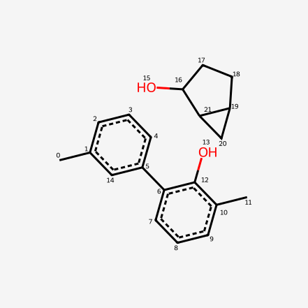 Cc1cccc(-c2cccc(C)c2O)c1.OC1CCC2CC12